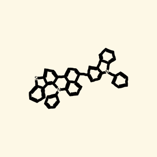 c1ccc(N2c3cccc4c(-c5ccc6c(c5)c5ccccc5n6-c5ccccc5)ccc(c34)-c3ccc4sc5ccccc5c4c32)cc1